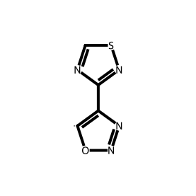 [c]1onnc1-c1ncsn1